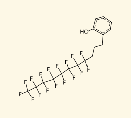 Oc1ccccc1CCCC(F)(F)C(F)(F)C(F)(F)C(F)(F)C(F)(F)C(F)(F)C(F)(F)C(F)(F)F